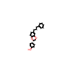 Oc1ccc([C@H]2COc3cc(CC[CH]c4ccccc4)ccc3O2)cc1